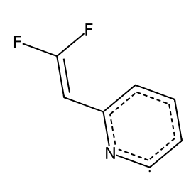 FC(F)=Cc1ccc[c]n1